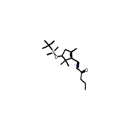 CCCC(=O)/C=C/C1=C(C)CC(O[Si](C)(C)C(C)(C)C)C1(C)C